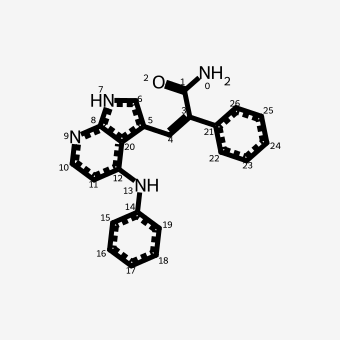 NC(=O)C(=Cc1c[nH]c2nccc(Nc3ccccc3)c12)c1ccccc1